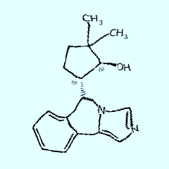 CC1(C)CC[C@@H](C2c3ccccc3-c3cncn32)[C@@H]1O